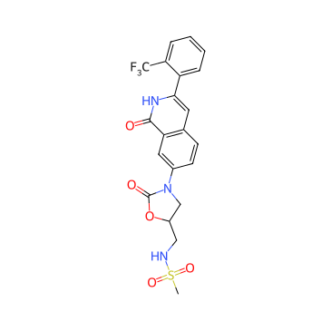 CS(=O)(=O)NCC1CN(c2ccc3cc(-c4ccccc4C(F)(F)F)[nH]c(=O)c3c2)C(=O)O1